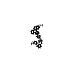 O=C1CCC(Nc2ccccc2CN2CCN(C3CCN(c4ccc(C5c6ccc(O)cc6OCC5c5ccccc5)cc4)CC3)CC2)C(=O)N1